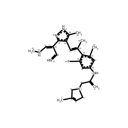 C=C(CN1CC=C(C)C1)Nc1cc(C)c(/C(C)=C/c2c(/C(C=N)=C/NC)n[nH]c2C)c(F)c1